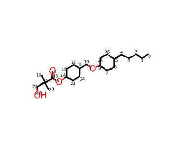 CCCCCC1CCC(OCC2CCC(OC(=O)C(C)(C)CO)CC2)CC1